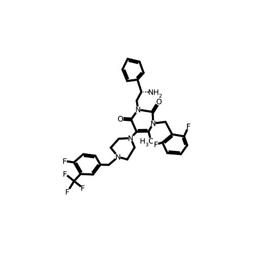 Cc1c(N2CCN(Cc3ccc(F)c(C(F)(F)F)c3)CC2)c(=O)n(C[C@@H](N)c2ccccc2)c(=O)n1Cc1c(F)cccc1F